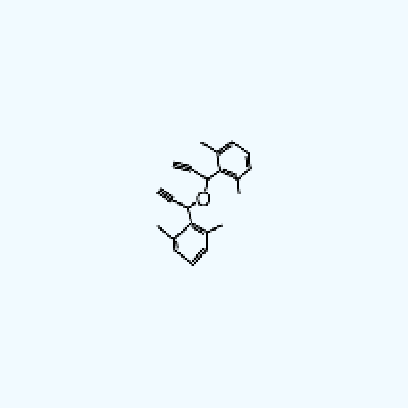 C#CC(OC(C#C)c1c(C)cccc1C)c1c(C)cccc1C